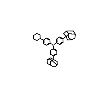 c1cc(N(c2ccc(C34CC5CC(CC(C5)C3)C4)cc2)c2ccc(C34CC5CC6CC(C3)C4(C6)C5)cc2)ccc1C1CCCCC1